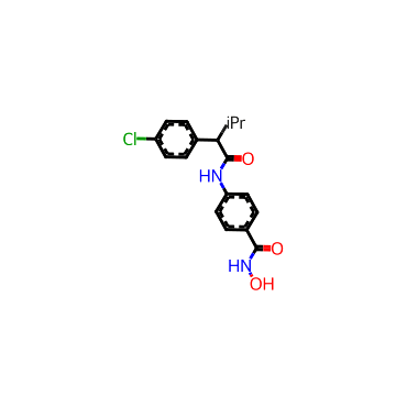 CC(C)C(C(=O)Nc1ccc(C(=O)NO)cc1)c1ccc(Cl)cc1